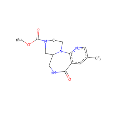 CC(C)(C)OC(=O)N1CCN2c3ncc(C(F)(F)F)cc3C(=O)NCC2C1